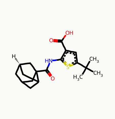 CC(C)(C)c1cc(C(=O)O)c(NC(=O)C23CC4CC2C[C@@H](C4)C3)s1